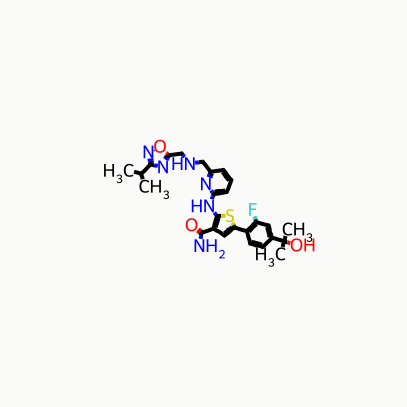 CC(C)c1noc(CNCc2cccc(Nc3sc(-c4ccc(C(C)(C)O)cc4F)cc3C(N)=O)n2)n1